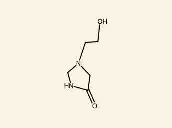 O=C1CN(CCO)CN1